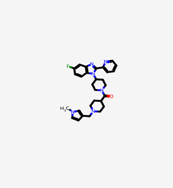 Cn1ccc(CN2CCC(C(=O)N3CCC(n4c(-c5ccccn5)nc5cc(F)ccc54)CC3)CC2)c1